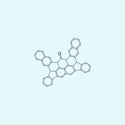 O=C1C2c3cc4ccccc4cc3C3c4ccccc4-c4cc5cc6c7c(c5c2c43)C1c1cc2ccccc2cc1C7c1ccccc1-6